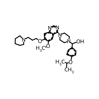 COc1cc2c(N3CCN(C(O)c4ccc(OC(C)C)cc4)CC3)ncnc2cc1OCCCN1CCCCC1